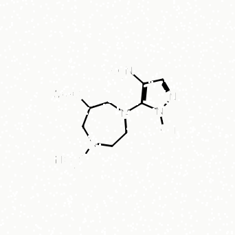 COC1CN(C(=O)O)CCN(c2c([N+](=O)[O-])cnn2C)C1